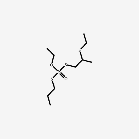 CCCSP(=O)(OCC)SCC(C)SCC